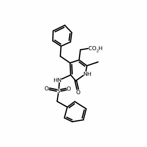 Cc1[nH]c(=O)c(NS(=O)(=O)Cc2ccccc2)c(Cc2ccccc2)c1CC(=O)O